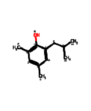 Cc1cc(C)c(O)c(CC(C)C)c1